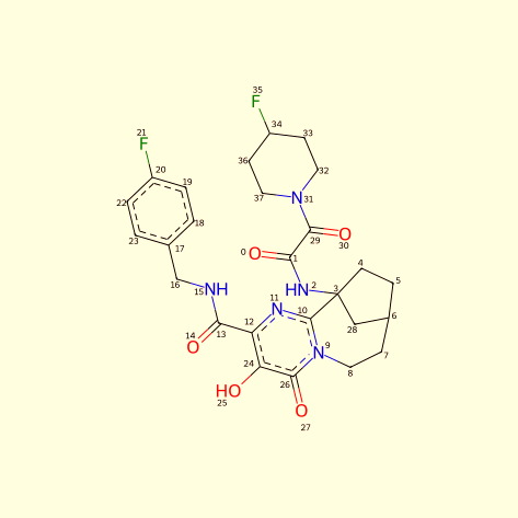 O=C(NC12CCC(CCn3c1nc(C(=O)NCc1ccc(F)cc1)c(O)c3=O)C2)C(=O)N1CCC(F)CC1